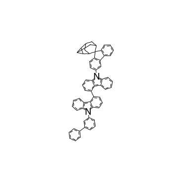 c1ccc(-c2cccc(-n3c4ccccc4c4c(-c5cccc6c5c5ccccc5n6-c5ccc6c(c5)-c5ccccc5C65C6CC7CC5C5C(C6)C75)cccc43)c2)cc1